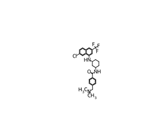 CN(C)Cc1ccc(C(=O)N[C@@H]2CCC[C@H](Nc3cc(C(F)(F)F)cc4ccc(Cl)cc34)C2)cc1